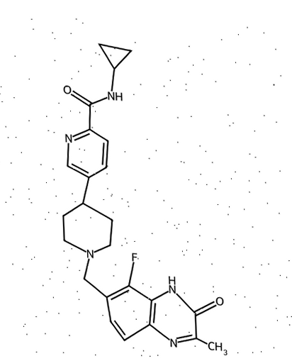 Cc1nc2ccc(CN3CCC(c4ccc(C(=O)NC5CC5)nc4)CC3)c(F)c2[nH]c1=O